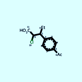 CCC(c1ccc(C(C)=O)cc1)C(Cl)C(=O)O